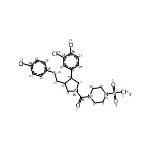 CS(=O)(=O)N1CCN(C(=O)N2CC(CSc3ccc(Cl)cc3)C(c3ccc(Cl)c(Cl)c3)C2)CC1